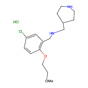 COCCOc1ccc(Cl)cc1CNCC1CCNCC1.Cl